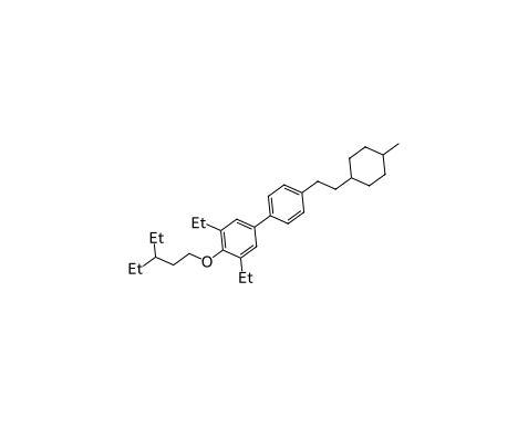 CCc1cc(-c2ccc(CCC3CCC(C)CC3)cc2)cc(CC)c1OCCC(CC)CC